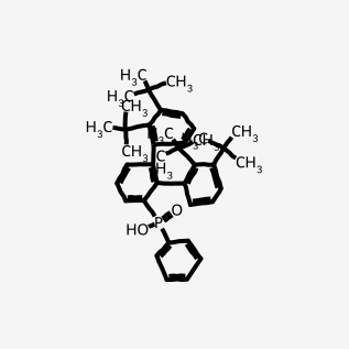 CC(C)(C)c1cccc(-c2cccc(P(=O)(O)c3ccccc3)c2-c2cccc(C(C)(C)C)c2C(C)(C)C)c1C(C)(C)C